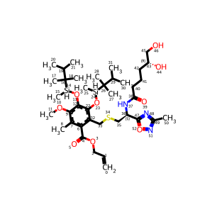 C=CCOC(=O)c1c(C)c(OC)c(O[SiH](C)C(C)(C)C(C)C)c(O[SiH](C)C(C)(C)C(C)C)c1CSC[C@@H](NC(=O)CCC[C@@H](O)CO)c1nc(C)no1